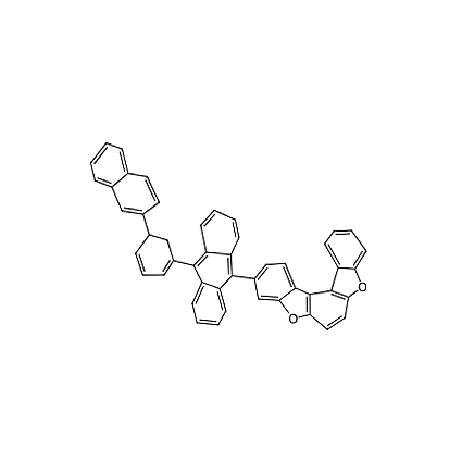 C1=CC(c2ccc3ccccc3c2)CC(c2c3ccccc3c(-c3ccc4c(c3)oc3ccc5oc6ccccc6c5c34)c3ccccc23)=C1